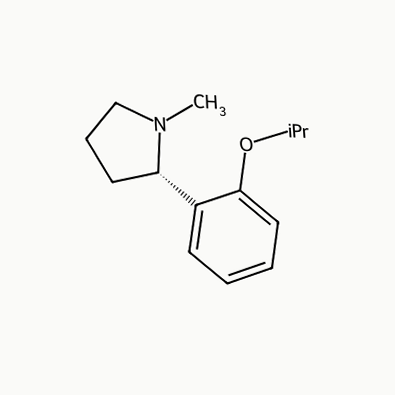 CC(C)Oc1ccccc1[C@@H]1CCCN1C